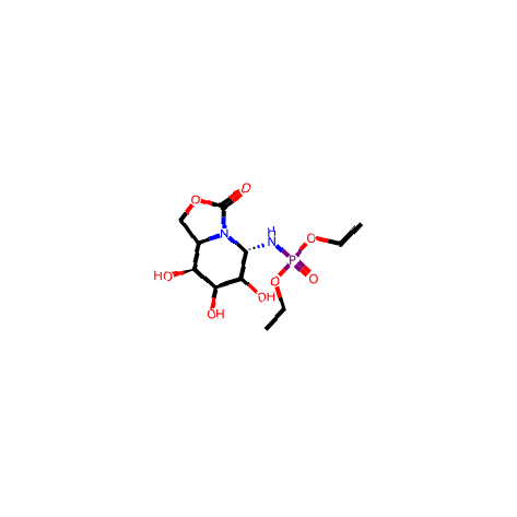 CCOP(=O)(N[C@@H]1C(O)C(O)[C@@H](O)C2COC(=O)N21)OCC